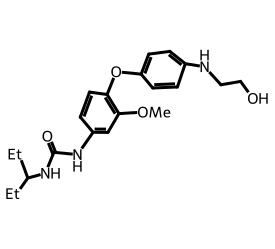 CCC(CC)NC(=O)Nc1ccc(Oc2ccc(NCCO)cc2)c(OC)c1